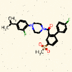 CC(C)c1ccc(N2CCN(C(=O)c3cc(S(C)(=O)=O)ccc3-c3ccc(F)cc3)CC2)c(F)c1